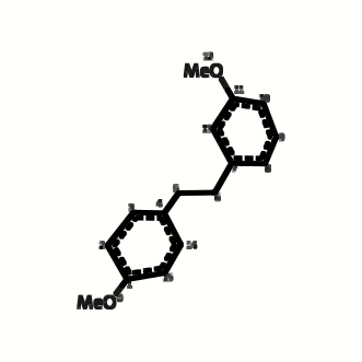 COc1ccc(CCc2cccc(OC)c2)cc1